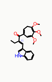 CC/C(=C\c1c[nH]c2ccccc12)C(=O)C1=CCC(OC)=C(OC)C(OC)=C1